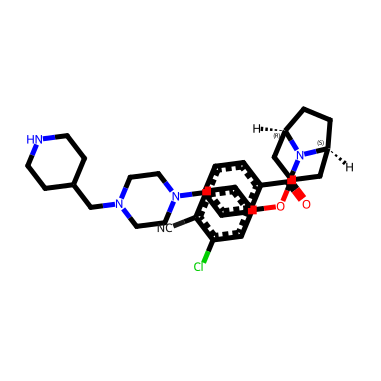 N#Cc1ccc(OC2C[C@H]3CC[C@@H](C2)N3C(=O)c2ccc(N3CCN(CC4CCNCC4)CC3)cc2)cc1Cl